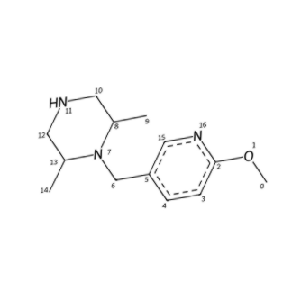 COc1ccc(CN2C(C)CNCC2C)cn1